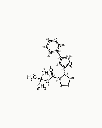 CC(C)(C)OC(=O)N1CCC[C@H]1c1cc(-c2ncccn2)no1